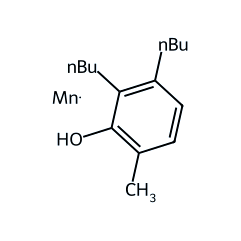 CCCCc1ccc(C)c(O)c1CCCC.[Mn]